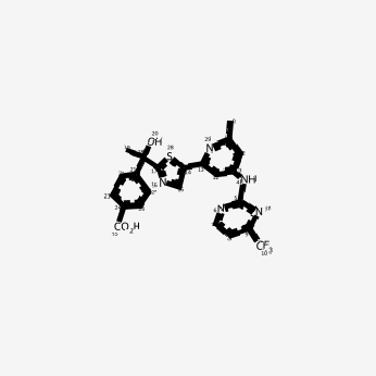 Cc1cc(Nc2nccc(C(F)(F)F)n2)cc(-c2cnc(C(C)(O)c3ccc(C(=O)O)cc3)s2)n1